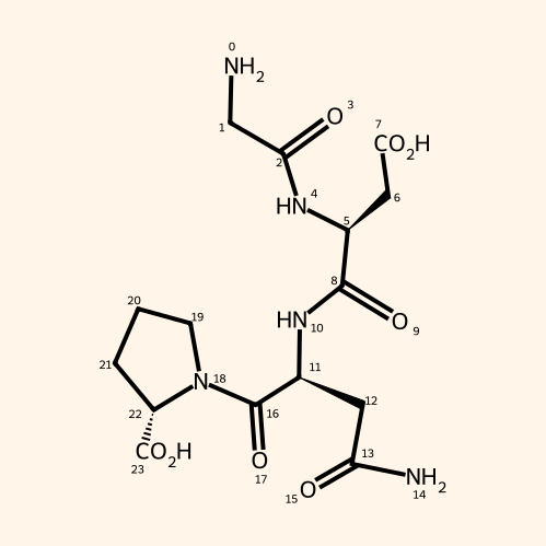 NCC(=O)N[C@@H](CC(=O)O)C(=O)N[C@@H](CC(N)=O)C(=O)N1CCC[C@H]1C(=O)O